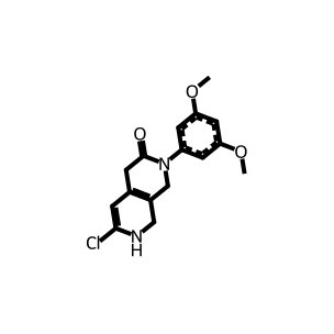 COc1cc(OC)cc(N2CC3=C(C=C(Cl)NC3)CC2=O)c1